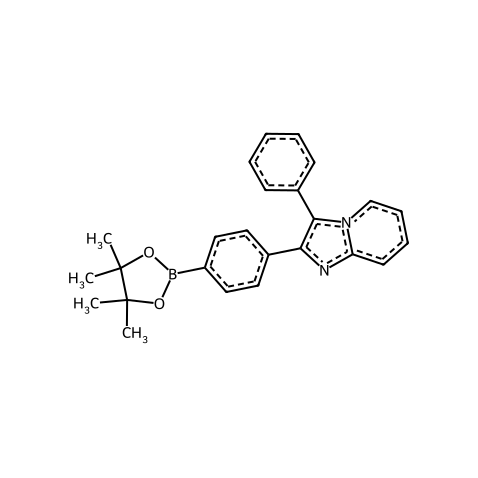 CC1(C)OB(c2ccc(-c3nc4ccccn4c3-c3ccccc3)cc2)OC1(C)C